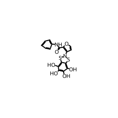 O=C(Nc1ccccc1)c1occc1N1Sc2c(O)c(O)c(O)c(O)c2S1